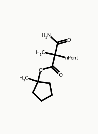 CCCCCC(C)(C(N)=O)C(=O)OC1(C)CCCC1